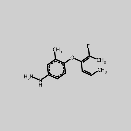 C/C=C\C(Oc1ccc(NN)cc1C)=C(/C)F